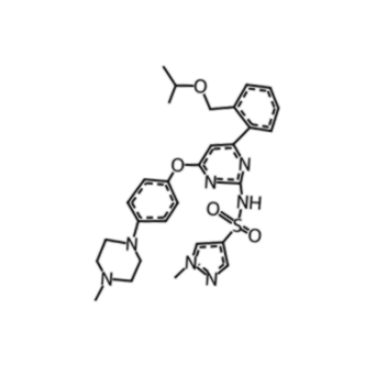 CC(C)OCc1ccccc1-c1cc(Oc2ccc(N3CCN(C)CC3)cc2)nc(NS(=O)(=O)c2cnn(C)c2)n1